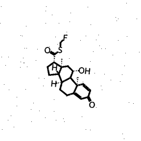 C[C@]12C[C@H](O)C3[C@@H](CCC4=CC(=O)C=C[C@@]43C)[C@@H]1CC[C@@H]2C(=O)SCF